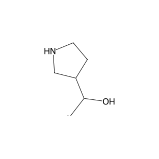 [CH2]C(O)C1CCNC1